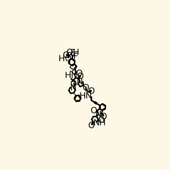 CC(C)(C)[C@H](NC(=O)c1cc2cc(C(F)(F)P(=O)(O)O)ccc2s1)C(=O)N1C[C@@H](OCC(=O)NCCC#Cc2cccc3c2C(=O)N(C2CCC(=O)NC2=O)C3=O)C[C@H]1C(=O)N1CCC[C@H](c2ccccc2)C1